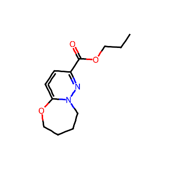 CCCOC(=O)C1=NN2CCCCOC2=C=C1